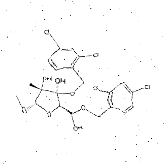 CO[C@H]1O[C@H](C(O)OCc2ccc(Cl)cc2Cl)[C@](O)(OCc2ccc(Cl)cc2Cl)[C@@]1(C)O